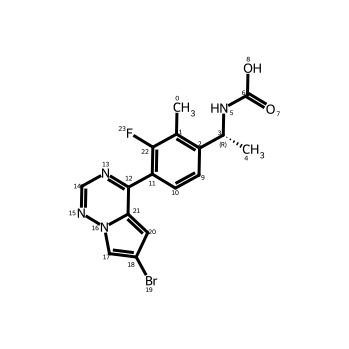 Cc1c([C@@H](C)NC(=O)O)ccc(-c2ncnn3cc(Br)cc23)c1F